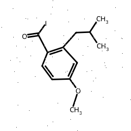 COc1ccc(C(=O)I)c(CC(C)C)c1